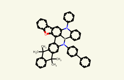 CC1(C)c2ccccc2C(C)(C)c2cc3c(cc21)-c1c2c(cc4c1oc1ccccc14)N(c1ccccc1)c1ccccc1B2N3c1ccc(-c2ccccc2)cc1